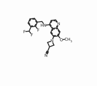 COc1cc2nccc(NCc3cccc(C(F)F)c3F)c2cc1N1CC(C#N)C1